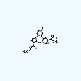 CCOC(=O)c1ncn2c1Cc1cnc(C(C)C)nc1-c1cc(F)ccc1-2